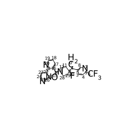 C=C(c1ccc(C(F)(F)F)nc1)C1(F)CCN(C(=O)c2cccnc2-c2ccncn2)CC1